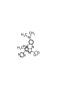 CCN(CC)c1ccc(/N=C2/C(C3COCO3)=Nn3c2nc(C)c3-c2cnccn2)c(C)c1